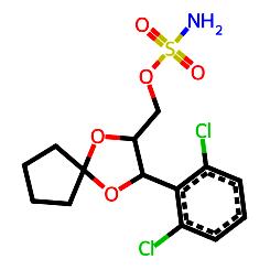 NS(=O)(=O)OCC1OC2(CCCC2)OC1c1c(Cl)cccc1Cl